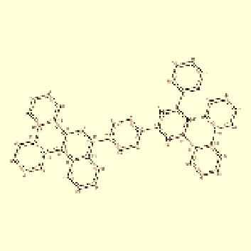 c1ccc(-c2nc(-c3ccc(-c4cc5c6ccccc6c6ccccc6c5c5ccccc45)cc3)nc(-c3ccccc3-c3ccccc3)n2)cc1